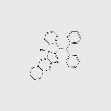 O=C1N(C(c2ccccc2)c2ccccc2)c2ccccc2C1(O)c1c(O)cc2c(c1F)OCCO2